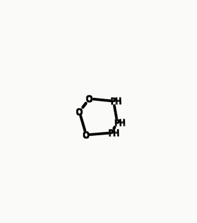 O1OPPPO1